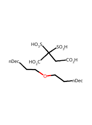 CCCCCCCCCCCCOCCCCCCCCCCCC.O=C(O)CC(C(=O)O)(S(=O)(=O)O)S(=O)(=O)O